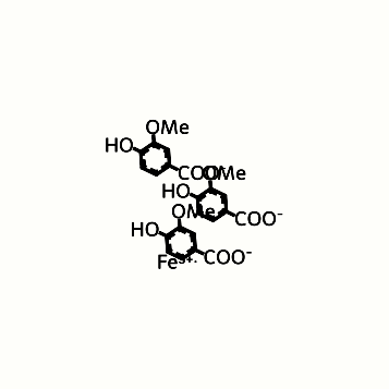 COc1cc(C(=O)[O-])ccc1O.COc1cc(C(=O)[O-])ccc1O.COc1cc(C(=O)[O-])ccc1O.[Fe+3]